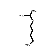 [CH2]C(OC)OCCCCOC